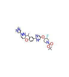 CC(c1cccc(-c2ncc(O[C@H]3CCN(C(=O)OC(C)(C)C)C[C@@H]3F)cn2)c1)c1nn(-c2cnn(C)c2)ccc1=O